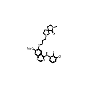 COc1cc2ncnc(Nc3cccc(Cl)c3F)c2cc1OCCCN1CCC2(CCN(C)C2=O)C1